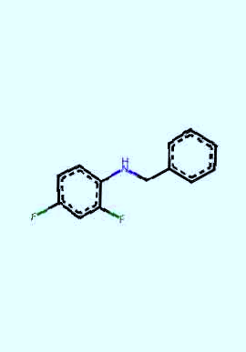 Fc1ccc(NCc2ccccc2)c(F)c1